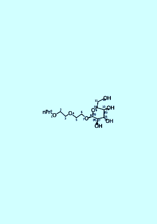 CCCOCCOCCO[C@H]1OC(CO)[C@@H](O)C(O)[C@H]1O